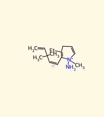 C=CC(C)(C)/C=C\C1=C(CC)CC=C[N+]1(C)N